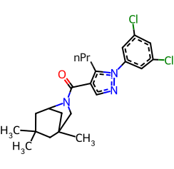 CCCc1c(C(=O)N2CC3(C)CC2CC(C)(C)C3)cnn1-c1cc(Cl)cc(Cl)c1